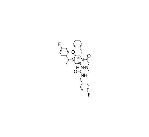 CC(c1ccc(F)cc1)N1C[C@H]2N(C(=O)CN(C)N2C(=O)NCc2ccc(F)cc2)[C@@H](Cc2ccccc2)C1=O